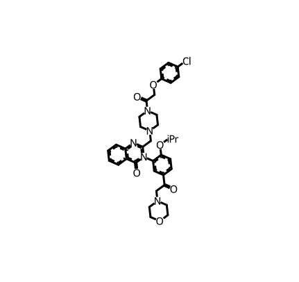 CC(C)Oc1ccc(C(=O)CN2CCOCC2)cc1-n1c(CN2CCN(C(=O)COc3ccc(Cl)cc3)CC2)nc2ccccc2c1=O